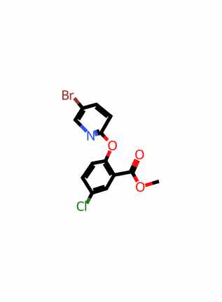 COC(=O)c1cc(Cl)ccc1Oc1ccc(Br)cn1